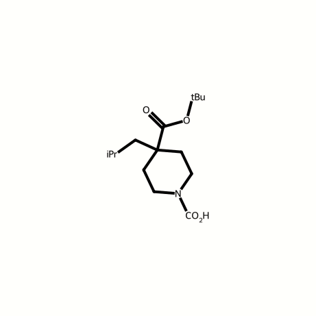 CC(C)CC1(C(=O)OC(C)(C)C)CCN(C(=O)O)CC1